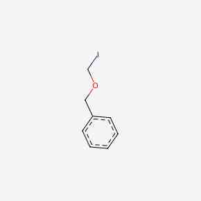 ICOCc1ccccc1